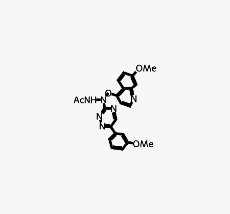 COc1cccc(-c2cnc(N(NC(C)=O)Oc3ccnc4cc(OC)ccc34)nn2)c1